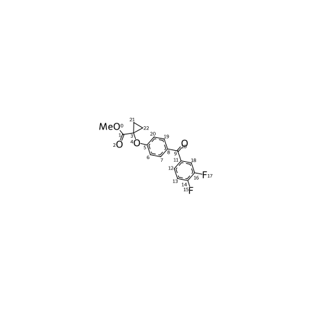 COC(=O)C1(Oc2ccc(C(=O)c3ccc(F)c(F)c3)cc2)CC1